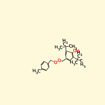 Cc1ccc(COOCc2cc(C(C)(C)C)c(O)c(C(C)(C)C)c2)cc1